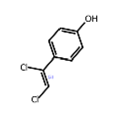 Oc1ccc(/C(Cl)=C/Cl)cc1